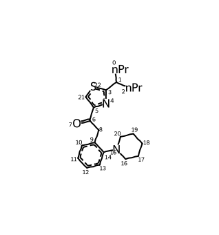 CCCC(CCC)c1nc(C(=O)Cc2ccccc2N2CCCCC2)cs1